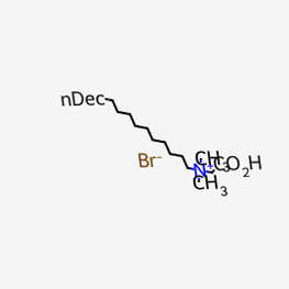 CCCCCCCCCCCCCCCCCCCC[N+](C)(C)CC(=O)O.[Br-]